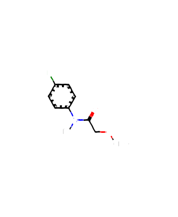 CC(C)N(C(=O)CO[C]=O)c1ccc(F)cc1